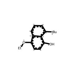 CCOc1ccc(O)c2c(C(C)(C)C)cccc12